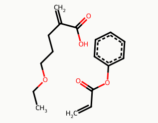 C=C(CCCOCC)C(=O)O.C=CC(=O)Oc1ccccc1